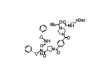 CCCCCCCCCCCCNC(=O)[C@@H]1CN(C(=O)c2ccc(C(=O)N3C[C@@H](C(=O)NC4C[C@@H]4c4ccccc4)[C@H](C(=O)N[C@H]4C[C@@H]4c4ccccc4)C3)cc2)CCN1C(=O)C(C)(C)C